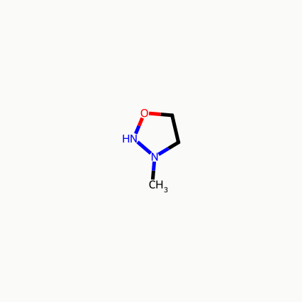 CN1CCON1